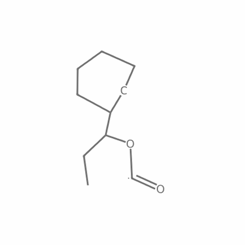 CCC(O[C]=O)C1CCCCC1